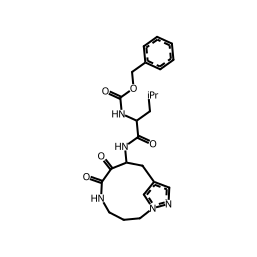 CC(C)CC(NC(=O)OCc1ccccc1)C(=O)NC1Cc2cnn(c2)CCCNC(=O)C1=O